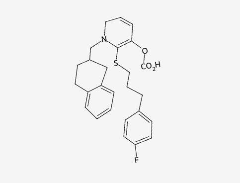 O=C(O)OC1=C(SCCCc2ccc(F)cc2)N(CC2CCc3ccccc3C2)CC=C1